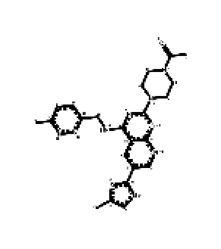 CC(=O)N1CCN(c2nc(NCc3ccc(C)nn3)c3cc(-c4ncc(C)s4)cnc3n2)CC1